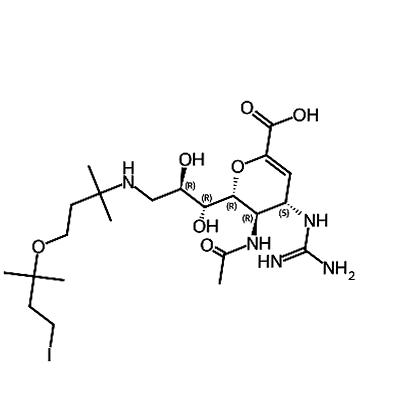 CC(=O)N[C@H]1[C@H]([C@H](O)[C@H](O)CNC(C)(C)CCOC(C)(C)CCI)OC(C(=O)O)=C[C@@H]1NC(=N)N